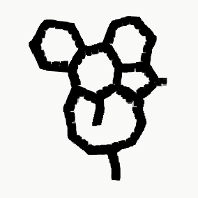 C=c1cccc2c(=C)c3c(cc1)[nH]c1cccc(c4ccccc24)c13